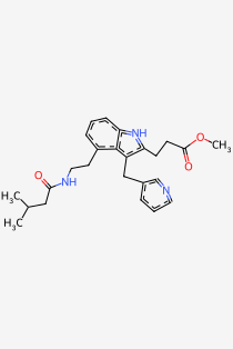 COC(=O)CCc1[nH]c2cccc(CCNC(=O)CC(C)C)c2c1Cc1cccnc1